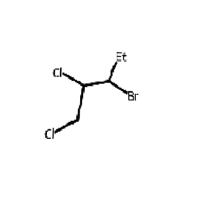 [CH2]CC(Br)C(Cl)CCl